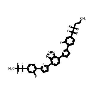 CCCC(F)(F)C(F)(F)c1ccc(-c2ccc(-c3ccc(-c4ccc(-c5ccc(C(F)(F)C(C)(F)F)cc5F)s4)c4nsnc34)s2)c(F)c1